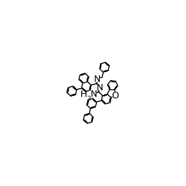 N/C(=N\C(=N/Cc1ccccc1)c1ccc(-c2ccccc2)c2ccccc12)c1c(-c2cccc(-c3ccccc3)c2)ccc2oc3ccccc3c12